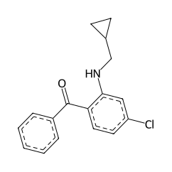 O=C(c1ccccc1)c1ccc(Cl)cc1NCC1CC1